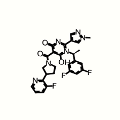 C[C@@H](c1cc(F)cc(F)c1)n1c(-c2cnn(C)c2)nc(=O)c(C(=O)N2CCC(c3ncccc3F)C2)c1O